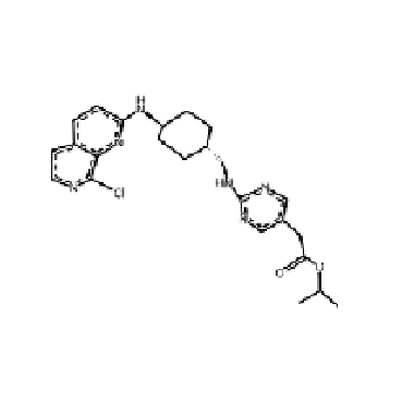 CC(C)OC(=O)Cc1cnc(NC[C@H]2CC[C@H](Nc3ccc4ccnc(Cl)c4n3)CC2)nc1